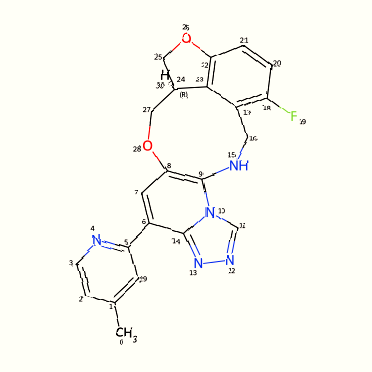 Cc1ccnc(-c2cc3c(n4cnnc24)NCc2c(F)ccc4c2[C@H](CO4)CO3)c1